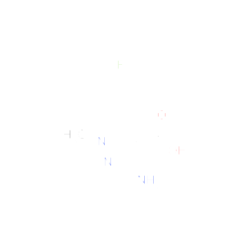 Cn1nc(N)c(C(=O)O)c1Cc1ccccc1F